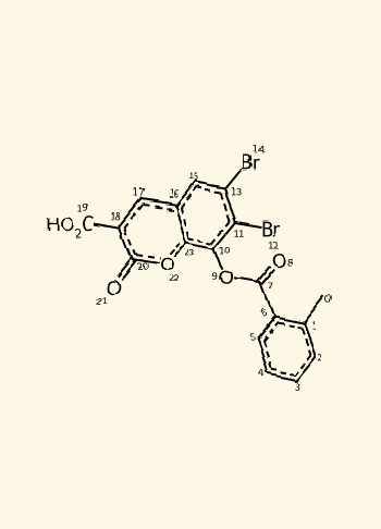 Cc1ccccc1C(=O)Oc1c(Br)c(Br)cc2cc(C(=O)O)c(=O)oc12